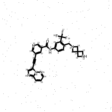 O=C(Nc1ccc(CN2CC3(CNC3)C2)c(C(F)(F)F)c1)c1cncc(C#Cc2cnc3cccnn23)c1